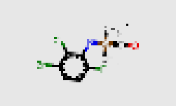 CS(C)(=C=O)=Nc1c(F)ccc(Br)c1Cl